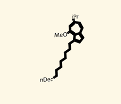 CCCCCCCCCCCCCCCCCCc1ccc2ccc(C(C)C)cc(OC)c1-2